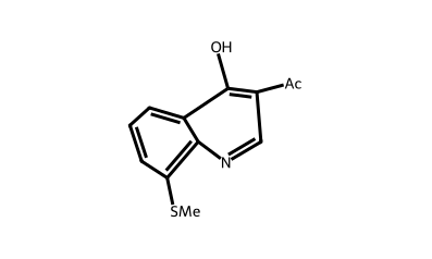 CSc1cccc2c(O)c(C(C)=O)cnc12